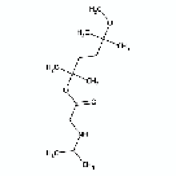 COC(C)(C)CCC(C)(C)OC(=O)CNC(C)C